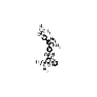 CC(C)C(=O)N1CCC(c2cc(-c3ccc(NC(=O)c4cn(C(C)C)c(=O)n(-c5ncccn5)c4=O)cc3)c3c(N)ncnn23)CC1